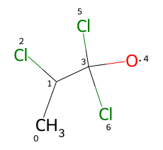 CC(Cl)C([O])(Cl)Cl